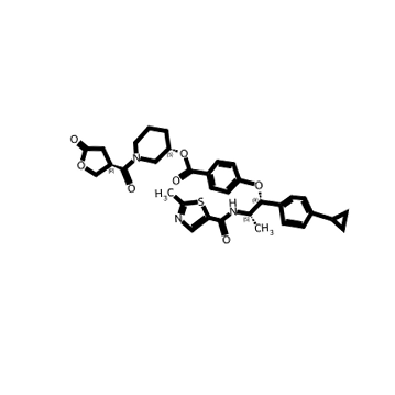 Cc1ncc(C(=O)N[C@@H](C)[C@H](Oc2ccc(C(=O)O[C@H]3CCCN(C(=O)[C@H]4COC(=O)C4)C3)cc2)c2ccc(C3CC3)cc2)s1